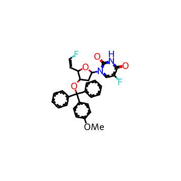 COc1ccc(C(OC2CC(n3cc(F)c(=O)[nH]c3=O)OC2/C=C\F)(c2ccccc2)c2ccccc2)cc1